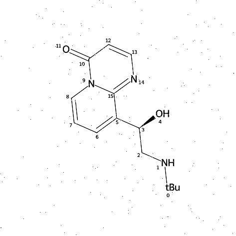 CC(C)(C)NC[C@H](O)c1cccn2c(=O)ccnc12